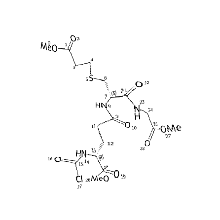 COC(=O)CCSC[C@@H](NC(=O)CC[C@@H](NC(=O)Cl)C(=O)OC)C(=O)NCC(=O)OC